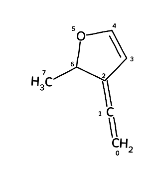 C=C=C1C=COC1C